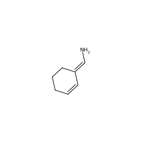 N/C=C1/C=CCCC1